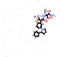 Cc1oc2ccc(N3CCCC3c3ccccc3)cc2c1C(=O)N[C@@](C)(CO)C(N)=O